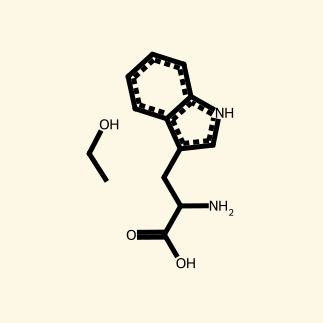 CCO.NC(Cc1c[nH]c2ccccc12)C(=O)O